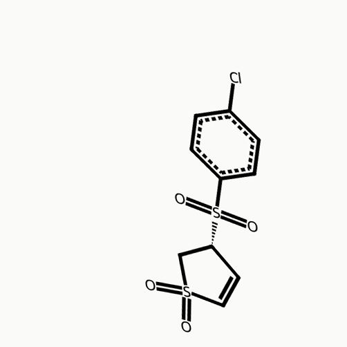 O=S1(=O)C=C[C@@H](S(=O)(=O)c2ccc(Cl)cc2)C1